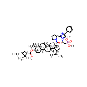 C=C(C)[C@@H]1CC[C@]2(C(=O)N3CCC[C@H]3c3nc(-c4ccccc4)cn3CCP(=O)(OCC)OCC)CC[C@]3(C)[C@H](CC[C@@H]4[C@@]5(C)CC[C@H](OC(=O)[C@H]6C[C@@H](C(=O)O)C6(C)C)C(C)(C)[C@@H]5CC[C@]43C)[C@@H]12